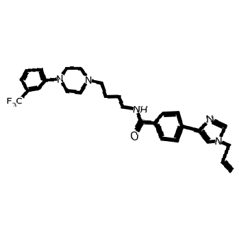 C=CCn1cnc(-c2ccc(C(=O)NCCCCN3CCN(c4cccc(C(F)(F)F)c4)CC3)cc2)c1